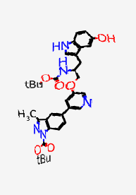 Cc1nn(C(=O)OC(C)(C)C)c2ccc(-c3cncc(OC[C@H](Cc4c[nH]c5ccc(O)cc45)NC(=O)OC(C)(C)C)c3)cc12